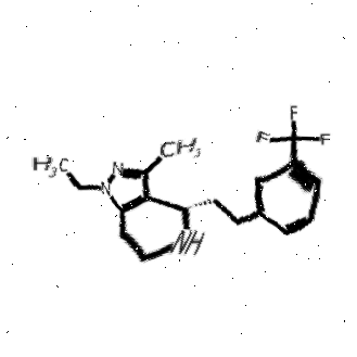 CCn1nc(C)c2c1CCN[C@H]2CCc1cccc(C(F)(F)F)c1